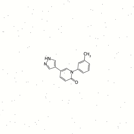 Cc1cccc(-n2cc(-c3cn[nH]c3)ccc2=O)c1